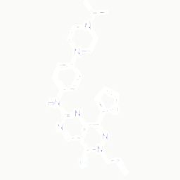 C=CCn1nc(-c2ccco2)c2nc(Nc3ccc(N4CCN(C(C)C)CC4)cc3)ncc2c1=O